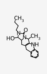 CCCCN1C(=O)N2C(C)C3=C(Cc4ccccc4N3)CC2C1O